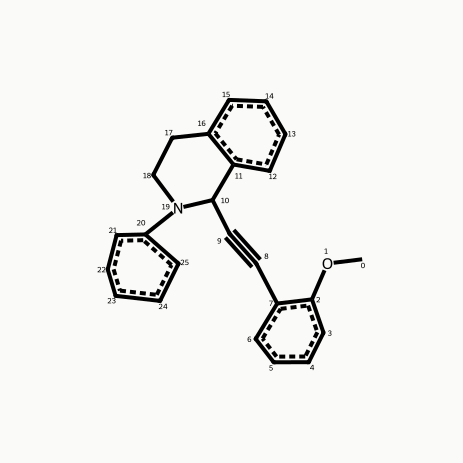 COc1ccccc1C#CC1c2ccccc2CCN1c1ccccc1